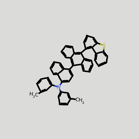 Cc1cccc(N(c2cccc(C)c2)c2ccc(-c3c4ccccc4c(-c4cccc5sc6ccccc6c45)c4ccccc34)c3ccccc23)c1